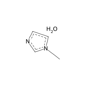 Cn1ccnc1.O